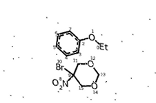 CCOc1ccccc1.O=[N+]([O-])C1(Br)COCOC1